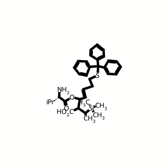 CC(C)[C@H](N)C(=O)OC(/C=C/CCSC(c1ccccc1)(c1ccccc1)c1ccccc1)C(C(=O)O)C(C)[Si](C)(C)C